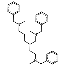 CN(CCCC(CCN(C)Cc1ccccc1)CN(C)Cc1ccccc1)Cc1ccccc1